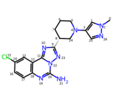 Cn1cc(N2CCC[C@@H](c3nc4c5cc(Cl)ccc5nc(N)n4n3)C2)cn1